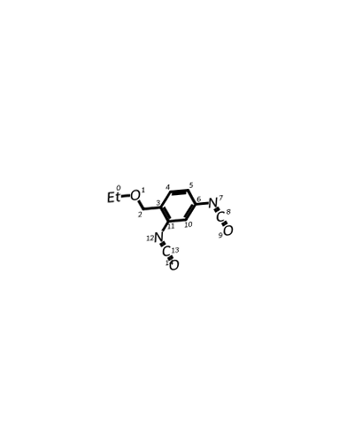 CCOCc1ccc(N=C=O)cc1N=C=O